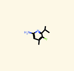 Cc1cc(N)nc(C(C)C)c1F